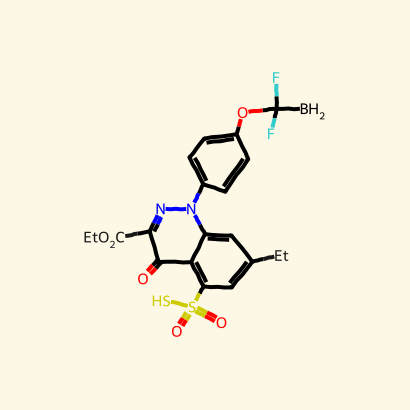 BC(F)(F)Oc1ccc(-n2nc(C(=O)OCC)c(=O)c3c(S(=O)(=O)S)cc(CC)cc32)cc1